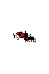 C=C(C=CC1=C(N(c2ccccc2)c2ccccc2)C(=CC=C2N(C)c3ccc(Cl)cc3C2(C)C)CC1)C(C)(C)c1cc(Cl)ccc1C